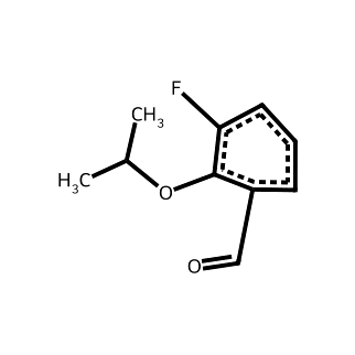 CC(C)Oc1c(F)cccc1C=O